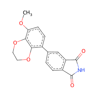 COc1ccc(-c2ccc3c(c2)C(=O)NC3=O)c2c1OCCO2